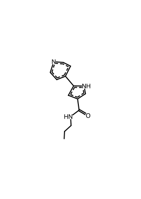 CCCNC(=O)c1c[nH]c(-c2ccncc2)c1